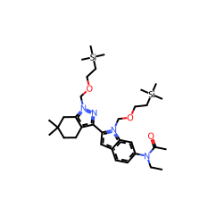 CCN(C(C)=O)c1ccc2cc(-c3nn(COCC[Si](C)(C)C)c4c3CCC(C)(C)C4)n(COCC[Si](C)(C)C)c2c1